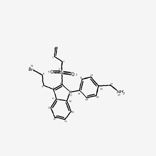 C=CCS(=O)(=O)c1c(CCBr)c2ccccc2n1-c1ccc(CN)cc1